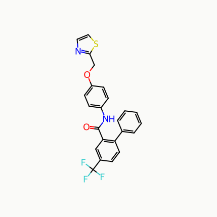 O=C(Nc1ccc(OCc2nccs2)cc1)c1cc(C(F)(F)F)ccc1-c1ccccc1